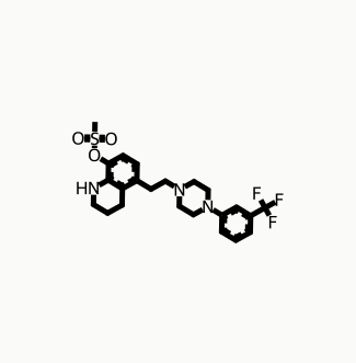 CS(=O)(=O)Oc1ccc(CCN2CCN(c3cccc(C(F)(F)F)c3)CC2)c2c1NCCC2